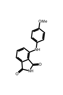 COc1ccc(Nc2cccc3c2C(=O)NC3=O)cc1